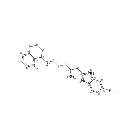 NC(CCCNC1CCCc2cccnc21)Cc1nc2ccc(F)cc2[nH]1